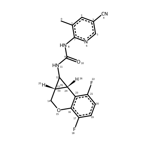 Cc1cc(C#N)cnc1NC(=O)NC1[C@H]2COc3c(F)ccc(F)c3[C@@H]12